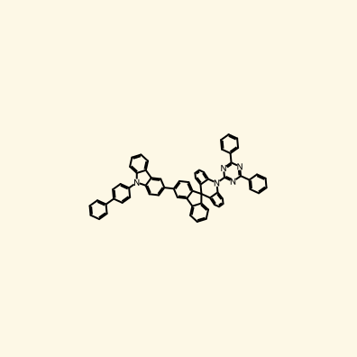 c1ccc(-c2ccc(-n3c4ccccc4c4cc(-c5ccc6c(c5)-c5ccccc5C65c6ccccc6N(c6nc(-c7ccccc7)nc(-c7ccccc7)n6)c6ccccc65)ccc43)cc2)cc1